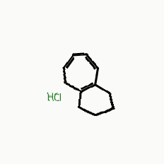 C1=CCC2=C(C=C1)CCCC2.Cl